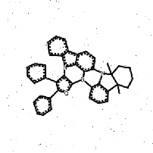 CC12CCCCC1(C)N1c3ccc4c5ccccc5n5c4c3B(c3cccc2c31)c1oc(-c2ccccc2)c(-c2ccccc2)c1-5